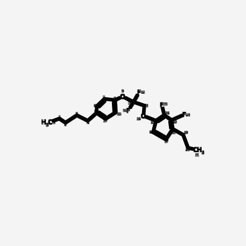 CCCCCc1ccc(OC(F)(F)COc2ccc(CCC)c(F)c2F)cc1